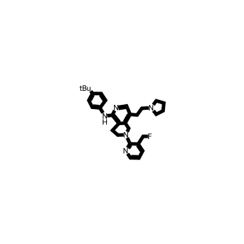 CC(C)(C)c1ccc(Nc2ncc(CCN3CCCC3)c3c2CCN(c2ncccc2CF)C3)cc1